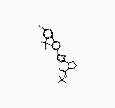 CC(C)(C)OC(=O)N1CCCC1c1ncc(-c2ccc3c(c2)C(F)(F)c2cc(Br)ccc2-3)[nH]1